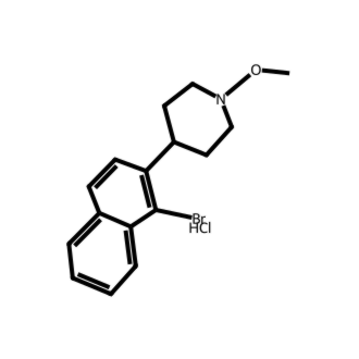 CON1CCC(c2ccc3ccccc3c2Br)CC1.Cl